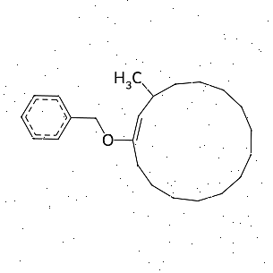 CC1C=C(OCc2ccccc2)CCCCCCCCCCCC1